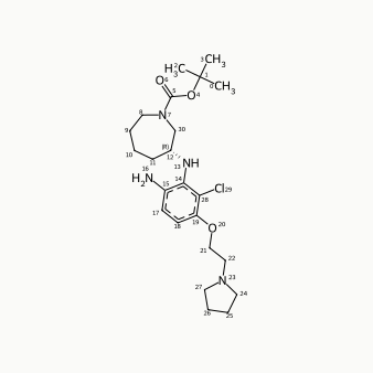 CC(C)(C)OC(=O)N1CCCC[C@@H](Nc2c(N)ccc(OCCN3CCCC3)c2Cl)C1